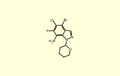 Nc1c(F)c(Cl)c(Br)c2cnn(C3CCCCO3)c12